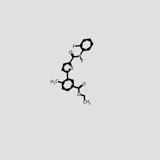 CCOC(=O)c1ccc(C)c(-c2ccc(C(=O)N(F)c3ccccc3F)s2)c1